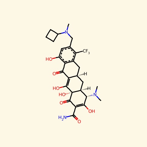 CN(Cc1cc(O)c2c(c1C(F)(F)F)C[C@H]1C[C@H]3[C@H](N(C)C)C(O)=C(C(N)=O)C(=O)[C@@]3(O)C(O)=C1C2=O)C1CCC1